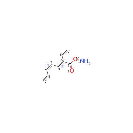 C=C/C=C\C=C(/C=C)C(=O)ON